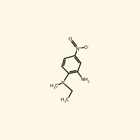 CCN(C)c1ccc([N+](=O)[O-])cc1N